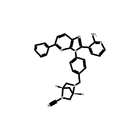 N#CN1C[C@@H]2C[C@H]1CN2Cc1ccc(-n2c(-c3cccnc3N)nc3ccc(-c4ccccc4)nc32)cc1